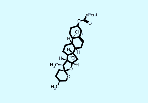 CCCCCC(=O)OC1CC[C@@]2(C)C(=CC[C@H]3[C@@H]4C[C@@H]5O[C@@]6(CC[C@H](C)CO6)[C@@H](C)[C@@H]5[C@@]4(C)CC[C@@H]32)C1